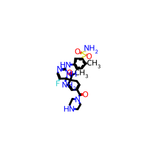 CC(=O)C1(C2(N)NC(Nc3ccc(C)c(S(N)(=O)=O)c3)=NC=C2F)C=CC(C(=O)N2CCNCC2)=CC1